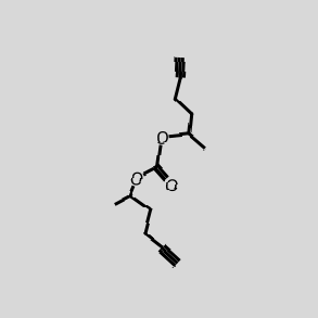 C#CCCC(C)OC(=O)OC(C)CCC#C